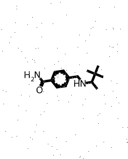 CC(NCc1ccc(C(N)=O)cc1)C(C)(C)C